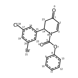 O=C1C=CN(C(=O)Oc2ccccc2)C(c2cc(Cl)cc(Br)c2)C1